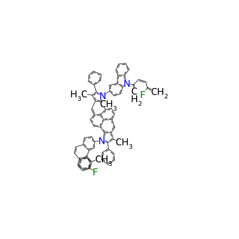 C=C(F)/C=C\C(=C)n1c2ccccc2c2cc(-n3cc(/C=c4/ccc5c6c(ccc(C)c46)cc4c(C)c(-c6ccccc6)n(-c6ccc(/C=C\c7ccc(F)cc7)c(-c7ccccc7C)c6)c45)c(C)c3-c3ccccc3)ccc21